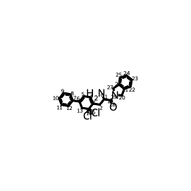 NC(CC1=CC=C(c2ccccc2)CC1(Cl)Cl)C(=O)N1Cc2ccccc2C1